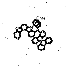 COc1ccc(N(c2cccc3c2-c2ccccc2C32c3ccccc3-c3ccccc32)c2cccc3c4c5c(ccc4n(-c4ccccc4)c23)oc2ccccc25)cc1